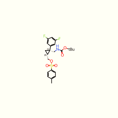 Cc1ccc(S(=O)(=O)OC[C@@H]2C[C@@]2(CNC(=O)OC(C)(C)C)c2cc(F)cc(F)c2)cc1